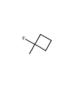 CC1(F)CCC1